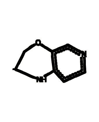 [CH]1COc2cnccc2N1